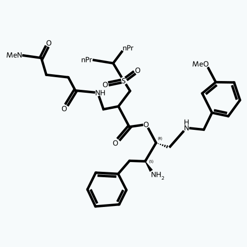 CCCC(CCC)S(=O)(=O)CC(CNC(=O)CCC(=O)NC)C(=O)O[C@H](CNCc1cccc(OC)c1)[C@@H](N)Cc1ccccc1